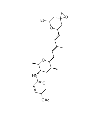 CC[C@@H]1C[C@@]2(CO2)C[C@@H](/C=C/C(C)=C/C[C@@H]2O[C@H](C)[C@H](NC(=O)/C=C\[C@H](C)OC(C)=O)C[C@@H]2C)O1